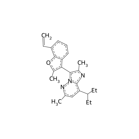 C=Cc1cccc2c(-c3c(C)nc4c(C(CC)CC)cc(C)nn34)c(C)oc12